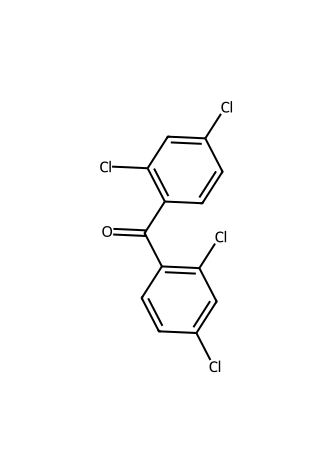 O=C(c1ccc(Cl)cc1Cl)c1ccc(Cl)cc1Cl